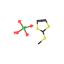 CSC1SC=CS1.[O-][Cl+3]([O-])([O-])O